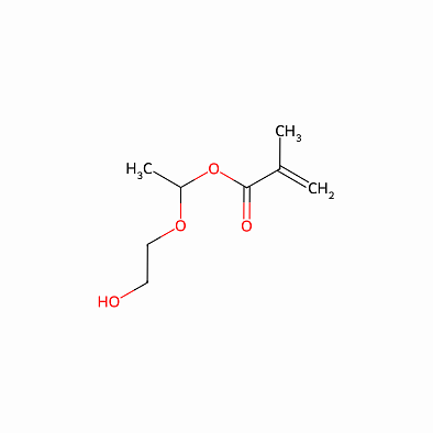 C=C(C)C(=O)OC(C)OCCO